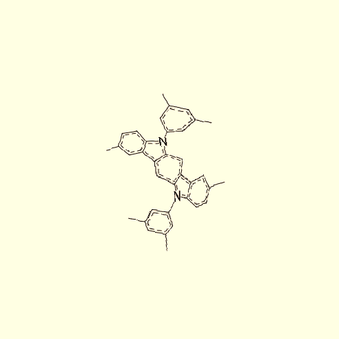 Cc1cc(C)cc(-n2c3ccc(C)cc3c3cc4c(cc32)c2cc(C)ccc2n4-c2cc(C)cc(C)c2)c1